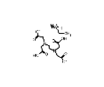 CCO.O=C([O-])CN(CCN(CC(=O)[O-])CC(=O)O)CC(=O)O.[Na+].[Na+]